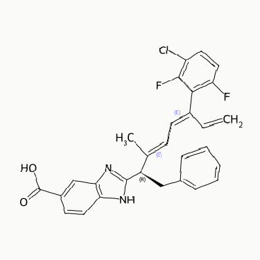 C=C/C(=C\C=C(/C)[C@@H](Cc1ccccc1)c1nc2cc(C(=O)O)ccc2[nH]1)c1c(F)ccc(Cl)c1F